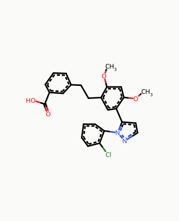 COc1cc(OC)c(-c2ccnn2-c2ccccc2Cl)cc1CCc1cccc(C(=O)O)c1